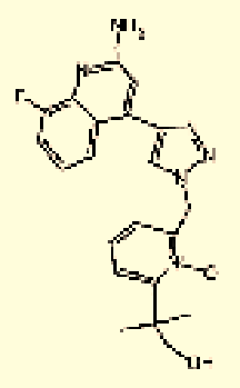 CC(C)(CO)c1cccc(Cn2cc(-c3cc(N)nc4c(F)cccc34)nn2)[n+]1[O-]